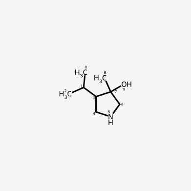 CC(C)C1CNCC1(C)O